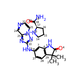 CC1(C)C(=O)Nc2cc(NC3=N[N+]4(N5CCC[C@@H]5C(N)=O)C=CN=CC4=N3)ccc21